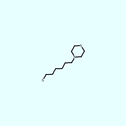 [S]CCCCCCN1CCSCC1